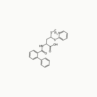 CSC(CC(NC(=O)c1ccccc1-c1ccccc1)C(=O)O)Sc1ccccn1